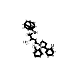 CC(CC(=O)N1CCC(c2ccccc2Cl)N1c1ccccc1Cl)C(=O)NC1C2CC3CC(C2)CC1C3